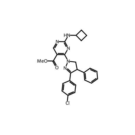 COC(=O)c1cnc(NC2CCC2)nc1N1CC(c2ccccc2)C(c2ccc(Cl)cc2)=N1